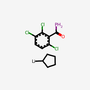 O=C(P)c1c(Cl)ccc(Cl)c1Cl.[Li][CH]1CCCC1